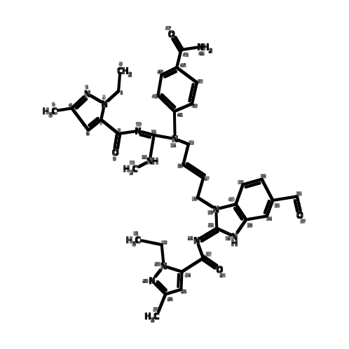 CCn1nc(C)cc1C(=O)/N=C(\NC)N(C/C=C/Cn1/c(=N/C(=O)c2cc(C)nn2CC)[nH]c2cc(C=O)ccc21)c1ccc(C(N)=O)cc1